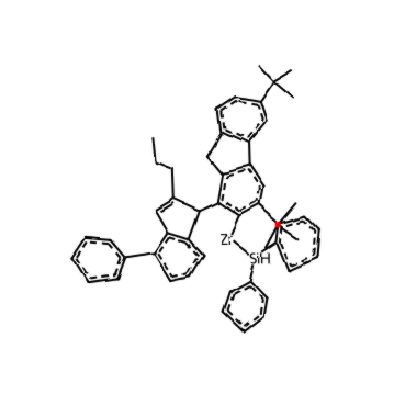 CCCC1=Cc2c(-c3ccccc3)cccc2C1c1c2c(cc(C(C)(C)C)[c]1[Zr][SiH](c1ccccc1)c1ccccc1)-c1cc(C(C)(C)C)ccc1C2